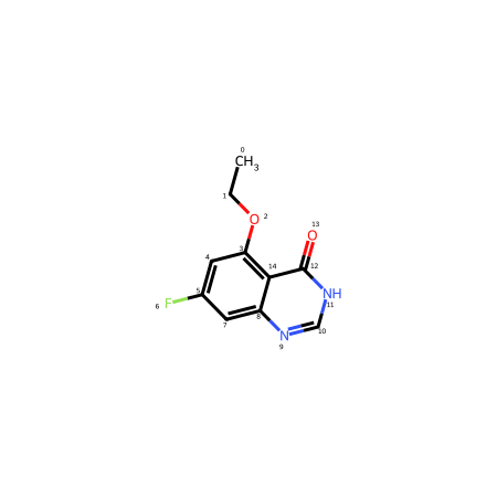 CCOc1cc(F)cc2nc[nH]c(=O)c12